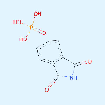 O=C1NC(=O)c2ccccc21.O=P(O)(O)O